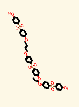 CCC(Oc1ccc(S(=O)(=O)c2ccc(O)cc2)cc1)Oc1ccc(S(=O)(=O)c2ccc(OC/C=C/COc3ccc(S(=O)(=O)c4ccc(O)cc4)cc3)cc2)cc1